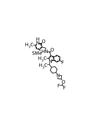 CSc1cc(C)[nH]c(=O)c1CNC(=O)c1c(C)n([C@H](C)C2CCC(N3CC(OC(F)F)C3)CC2)c2cc(F)ccc12